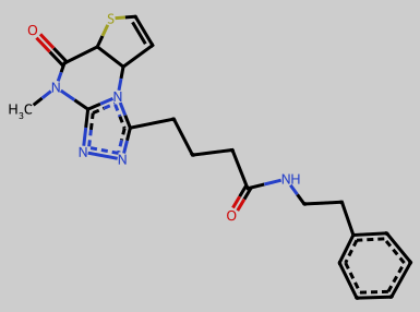 CN1C(=O)C2SC=CC2n2c(CCCC(=O)NCCc3ccccc3)nnc21